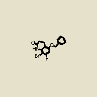 O=C1CCc2c(OCc3ccccc3)cc(F)c(Br)c2N1